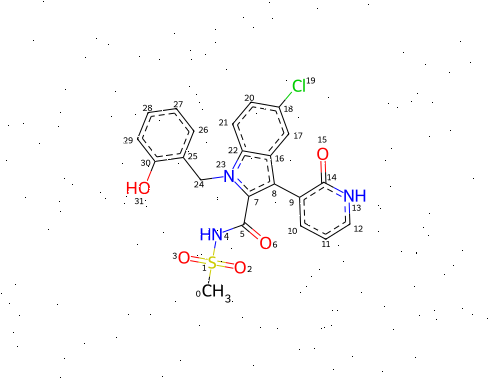 CS(=O)(=O)NC(=O)c1c(-c2ccc[nH]c2=O)c2cc(Cl)ccc2n1Cc1ccccc1O